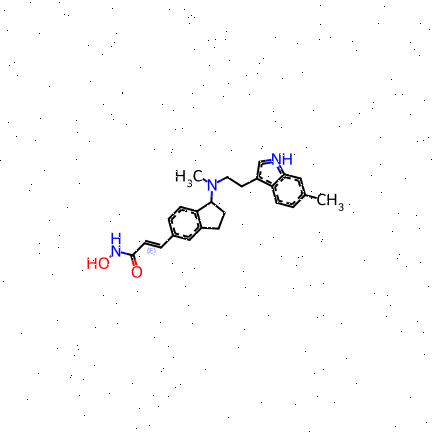 Cc1ccc2c(CCN(C)C3CCc4cc(/C=C/C(=O)NO)ccc43)c[nH]c2c1